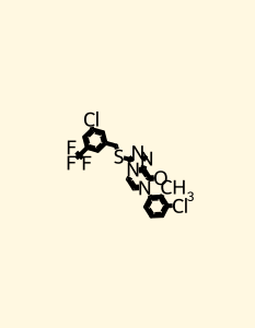 Cc1c(Cl)cccc1-n1ccn2c(SCc3cc(Cl)cc(C(F)(F)F)c3)nnc2c1=O